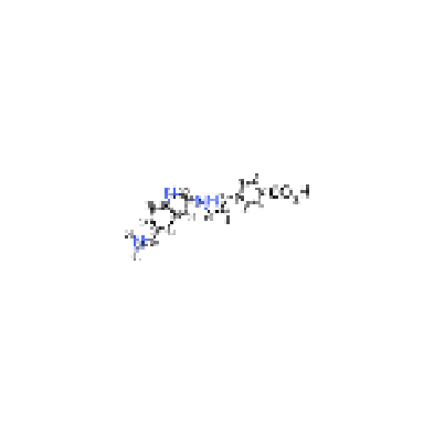 CC(=Cc1ccc(C(=O)O)cc1)CNc1cnc2ccc(CN(C)C)cc2c1